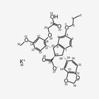 CCCOc1ccc2c(c1)[C@@H](c1ccc(OC)cc1OCC(=O)O)[C@H](C(=O)[O-])[C@H]2c1ccc2c(c1)OCO2.[K+]